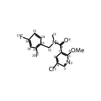 COc1ncc(Cl)cc1C(=O)N(C)Cc1ccc(F)cc1F